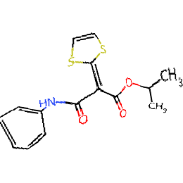 CC(C)OC(=O)C(C(=O)Nc1ccccc1)=C1SC=CS1